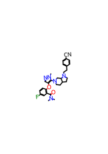 CN(C)C(=O)c1cc(F)ccc1Oc1cnn(C)c1N1CCC2CCN(CCc3ccc(C#N)cc3)C2C1